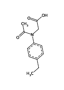 CCc1ccc(N(CC(=O)O)C(C)=O)cc1